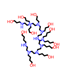 OCCCCNCCN(CCCCO)CCN(CCCCO)CCN(CCCCO)CC(NCCN(CCCO)CCN(CCCO)CC[N+](CCCO)(CCCO)CCNCCCO)N(CCCCO)CCCCO